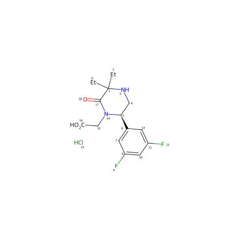 CCC1(CC)NC[C@@H](c2cc(F)cc(F)c2)N(CC(=O)O)C1=O.Cl